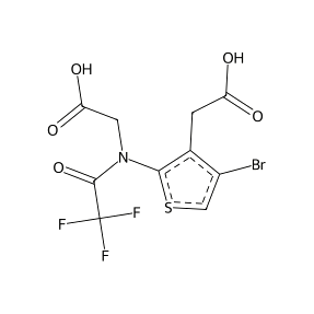 O=C(O)Cc1c(Br)csc1N(CC(=O)O)C(=O)C(F)(F)F